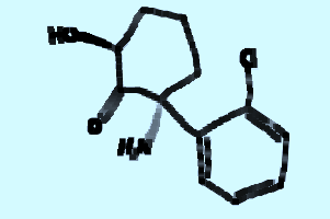 N[C@@]1(c2ccccc2Cl)CCC[C@H](O)C1=O